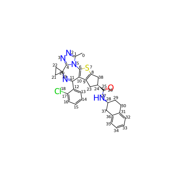 Cc1nnc2n1-c1sc3c(c1C(c1ccccc1Cl)=NC21CC1)C[C@H](C(=O)N[C@H]1CCc2ccccc2C1)C3